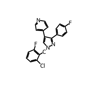 Fc1ccc(-c2nn(Cc3c(F)cccc3Cl)cc2-c2ccncc2)cc1